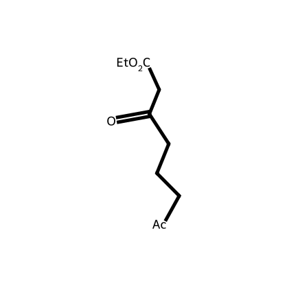 CCOC(=O)CC(=O)CCCC(C)=O